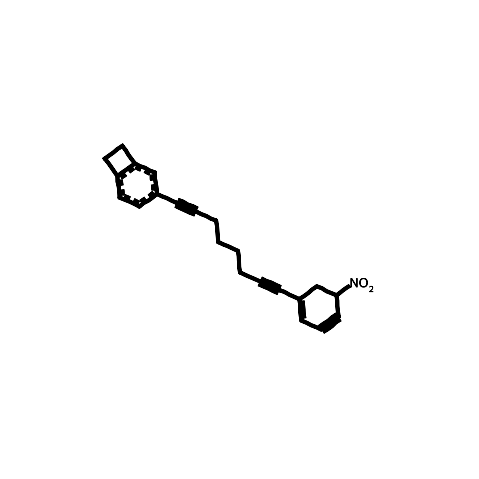 O=[N+]([O-])C1C#CC=C(C#CCCCCC#Cc2ccc3c(c2)CC3)C1